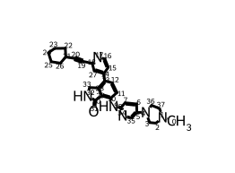 CN1CCN(c2ccc(Nc3ccc(-c4ccnc(C#CC5CCCCC5)c4)c4c3C(=O)NC4)nc2)CC1